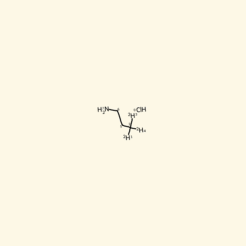 Cl.[2H]C([2H])([2H])CCN